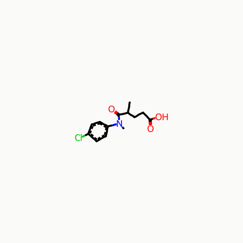 CC(CCC(=O)O)C(=O)N(C)c1ccc(Cl)cc1